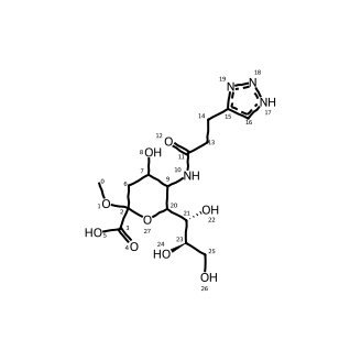 COC1(C(=O)O)CC(O)C(NC(=O)CCc2c[nH]nn2)C([C@H](O)[C@H](O)CO)O1